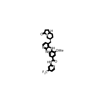 COc1cc(C(=O)Nc2cc(C(F)(F)F)ccn2)ccc1Nc1c(C[C@@H]2CC[C@H]3CCC(=O)N3C2)ccnc1N